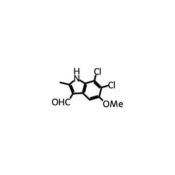 COc1cc2c(C=O)c(C)[nH]c2c(Cl)c1Cl